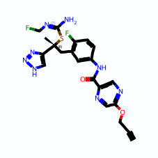 C#CCOc1cnc(C(=O)Nc2ccc(F)c(C[C@@](C)(S/C(N)=N\CF)c3c[nH]nn3)c2)cn1